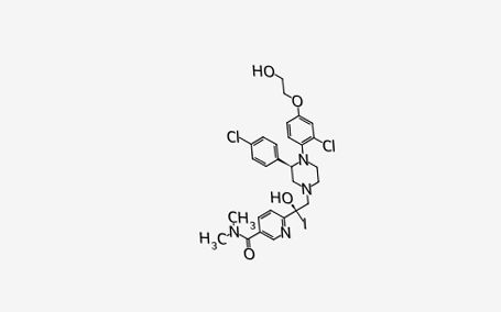 CN(C)C(=O)c1ccc([C@@](O)(I)CN2CCN(c3ccc(OCCO)cc3Cl)[C@H](c3ccc(Cl)cc3)C2)nc1